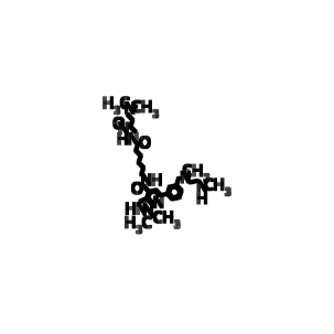 CNCCN(C)Cc1cccc(-c2cc(C(=O)NCCCCCC(=O)NCC(CCN(C)C)N=O)c3c(n2)N(C(C)C)NC3)c1